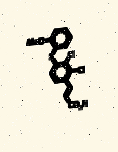 COc1ccccc1Sc1ccc(C=CC(=O)O)c(Cl)c1Cl